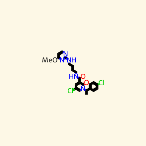 COc1ccnc(NCCCCNC(=O)c2cc(Cl)cn(C(C)c3ccc(Cl)cc3)c2=O)n1